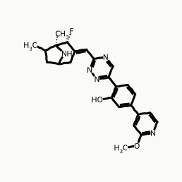 COc1cc(-c2ccc(-c3cnc(/C=C4\CC5CC(C)[C@](C)(N5)[C@@H]4F)nn3)c(O)c2)ccn1